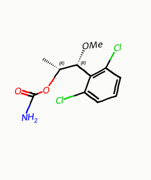 CO[C@H](c1c(Cl)cccc1Cl)[C@@H](C)OC(N)=O